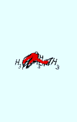 CC#CCOc1ccc(C[C@H](NC(=O)[C@@H](/C=C/CCCCCCC(O)CCCCCCC)[C@@](O)(CCOC)C(=O)O)C(=O)OC)cc1